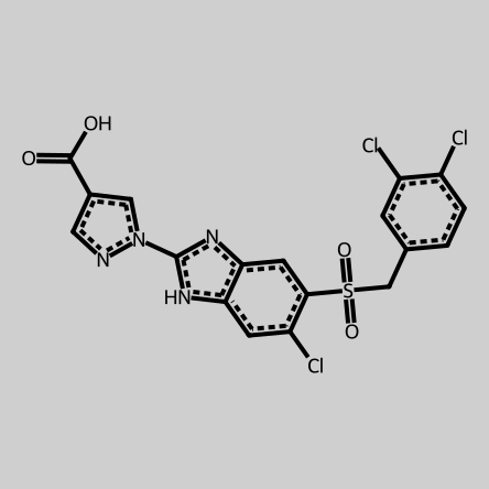 O=C(O)c1cnn(-c2nc3cc(S(=O)(=O)Cc4ccc(Cl)c(Cl)c4)c(Cl)cc3[nH]2)c1